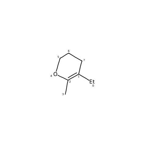 CCC1=C(C)OCCC1